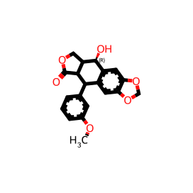 COc1cccc(C2c3cc4c(cc3[C@H](O)C3COC(=O)C23)OCO4)c1